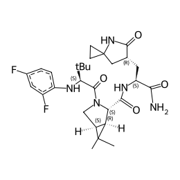 CC(C)(C)[C@H](Nc1ccc(F)cc1F)C(=O)N1C[C@H]2[C@@H]([C@H]1C(=O)N[C@@H](C[C@@H]1CC3(CC3)NC1=O)C(N)=O)C2(C)C